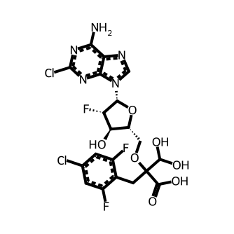 Nc1nc(Cl)nc2c1ncn2[C@@H]1O[C@H](COC(Cc2c(F)cc(Cl)cc2F)(C(=O)O)C(O)O)[C@@H](O)[C@@H]1F